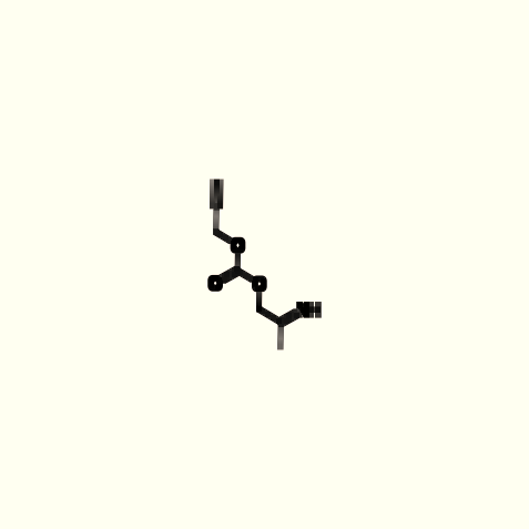 C#CCOC(=O)OCC(C)=N